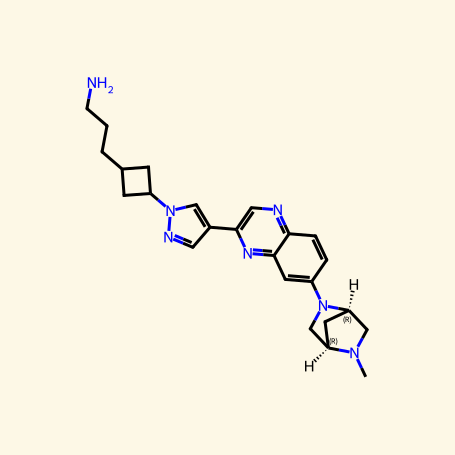 CN1C[C@H]2C[C@@H]1CN2c1ccc2ncc(-c3cnn(C4CC(CCCN)C4)c3)nc2c1